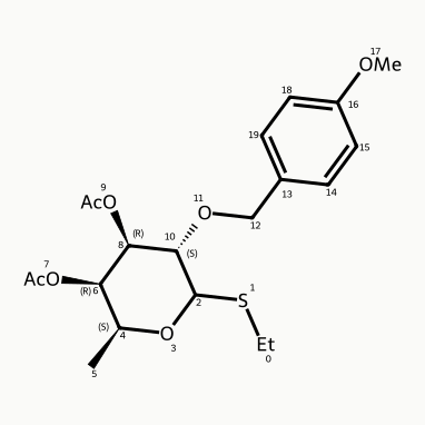 CCSC1O[C@@H](C)[C@@H](OC(C)=O)[C@@H](OC(C)=O)[C@@H]1OCc1ccc(OC)cc1